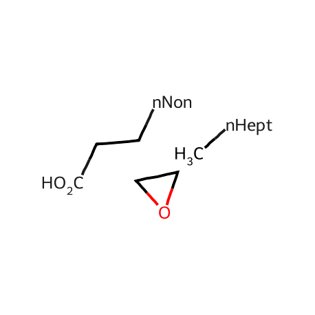 C1CO1.CCCCCCCC.CCCCCCCCCCCC(=O)O